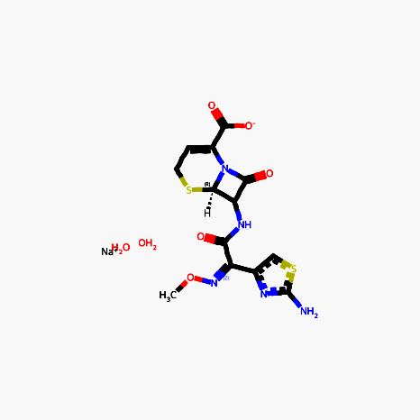 CO/N=C(\C(=O)NC1C(=O)N2C(C(=O)[O-])=CCS[C@H]12)c1csc(N)n1.O.O.[Na+]